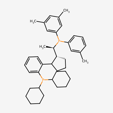 Cc1cccc(P(c2cc(C)cc(C)c2)[C@H](C)[C@@H]2CCCC2c2ccccc2P(C2CCCCC2)C2CCCCC2)c1